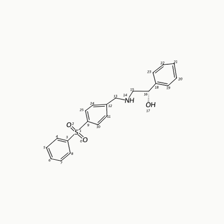 O=S(=O)(c1ccccc1)c1ccc(CNC[C@@H](O)c2ccccc2)cc1